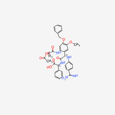 CC(=O)O.COc1cc([C@H](Nc2ccc(C(=N)N)cc2)C(=O)N[C@H](C(=O)O)c2ccccc2)c(NC(C)=O)cc1OCc1ccccc1